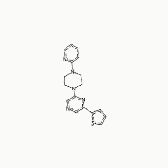 c1ccc(N2CCN(c3cncc(-c4cccs4)n3)CC2)nc1